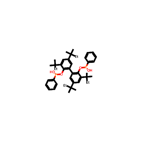 CCC(C)(C)c1cc(-c2cc(C(C)(C)CC)cc(C(C)(C)CC)c2OP(O)c2ccccc2)c(OP(O)c2ccccc2)c(C(C)(C)CC)c1